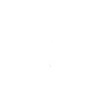 Cc1cccc2cc(C(=O)NC(CN(C)C)c3cccnc3)[nH]c12